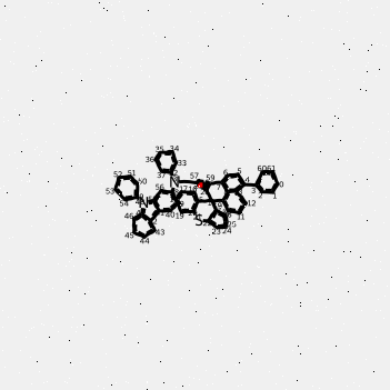 c1ccc(-c2ccc3c4c(cccc24)C2(c4ccccc4Sc4ccccc42)c2cc(N(c4ccccc4)c4ccc5c6ccccc6n(-c6ccccc6)c5c4)ccc2-3)cc1